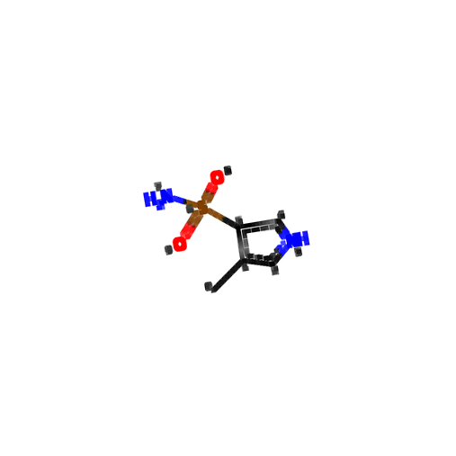 Cc1c[nH]cc1S(N)(=O)=O